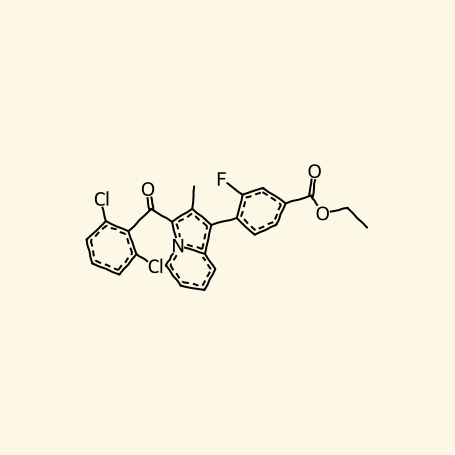 CCOC(=O)c1ccc(-c2c(C)c(C(=O)c3c(Cl)cccc3Cl)n3ccccc23)c(F)c1